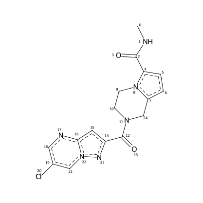 CNC(=O)c1ccc2n1CCN(C(=O)c1cc3ncc(Cl)cn3n1)C2